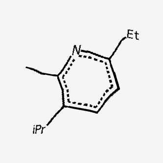 CCc1ccc(C(C)C)c(C)n1